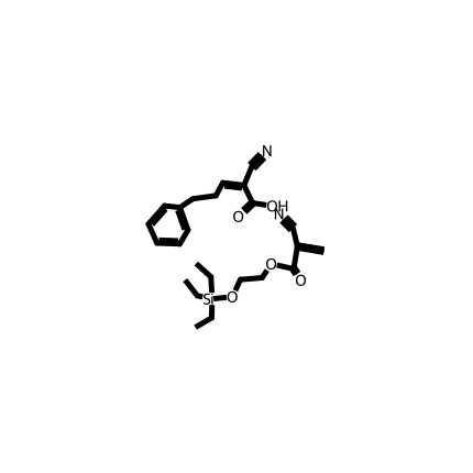 C=C(C#N)C(=O)OCCO[Si](CC)(CC)CC.N#CC(=CCCc1ccccc1)C(=O)O